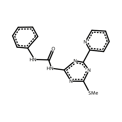 CSc1nc(NC(=O)Nc2ccccc2)nc(-c2ccccn2)n1